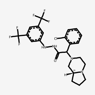 O=C(NNc1cc(C(F)(F)F)cc(C(F)(F)F)c1)C(c1ccccc1Cl)N1CCN2CCC[C@@H]2C1